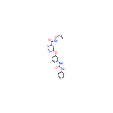 CONC(=O)c1cc(Oc2cccc(NC(=O)Nc3ccccc3)c2)ncn1